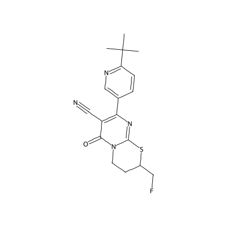 CC(C)(C)c1ccc(-c2nc3n(c(=O)c2C#N)CCC(CF)S3)cn1